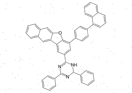 c1ccc(C2=NC(c3ccccc3)NC(c3cc(-c4ccc(-c5cccc6ccccc56)cc4)c4oc5cc6ccccc6cc5c4c3)=N2)cc1